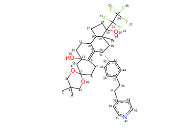 CC1(C)COC2(CCC3=C4C(CCC3(O)C2)C2CCC(O)(C(F)(F)C(F)(F)F)C2(C)C[C@@H]4c2ccc(CCc3ccncc3)cc2)OC1